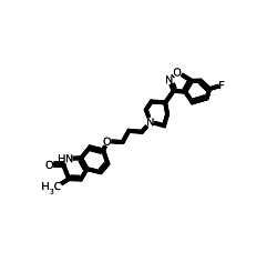 Cc1cc2ccc(OCCCN3CCC(c4noc5cc(F)ccc45)CC3)cc2[nH]c1=O